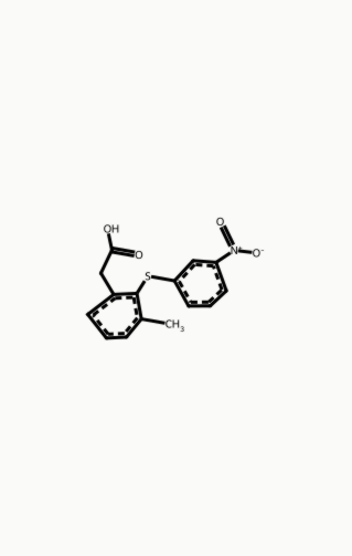 Cc1cccc(CC(=O)O)c1Sc1cccc([N+](=O)[O-])c1